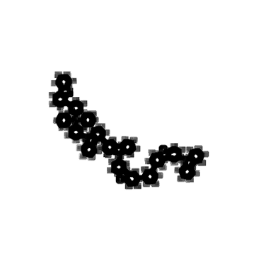 c1ccc([Si](c2ccccc2)(c2cccc(-c3cccc4c3sc3ccccc34)c2)c2cccc(-n3c4ccccc4c4c(-c5ccc6c(c5)c5ccccc5n6-c5ccc6oc7ccc(-c8cccc(-c9ccc%10oc%11ccc(-n%12c%13ccccc%13c%13ccccc%13%12)cc%11c%10c9)c8)cc7c6c5)cccc43)c2)cc1